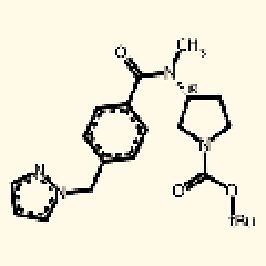 CN(C(=O)c1ccc(Cn2cccn2)cc1)[C@@H]1CCN(C(=O)OC(C)(C)C)C1